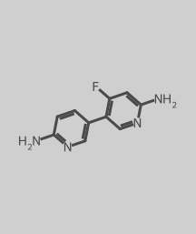 Nc1ccc(-c2cnc(N)cc2F)cn1